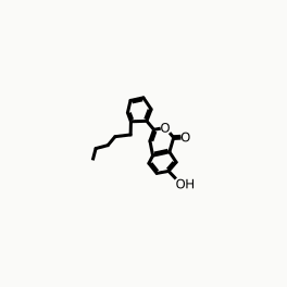 CCCCCc1ccccc1-c1cc2ccc(O)cc2c(=O)o1